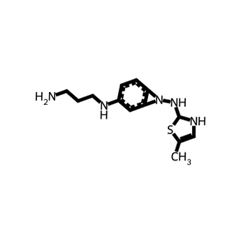 CC1=CNC(NN2c3ccc(NCCCN)cc32)S1